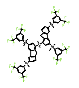 C[Si](C)(c1cc(C(F)(F)F)cc(C(F)(F)F)c1)c1ccc2c(c1)-c1cc([Si](C)(C)c3cc(C(F)(F)F)cc(C(F)(F)F)c3)cc([Si](C)(C)c3cc([Si](C)(C)c4cc(C(F)(F)F)cc(C(F)(F)F)c4)cc4c3Cc3ccc([Si](C)(C)c5cc(C(F)(F)F)cc(C(F)(F)F)c5)cc3-4)c1C2